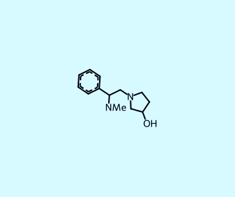 CNC(CN1CCC(O)C1)c1ccccc1